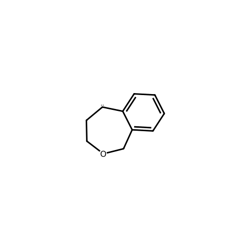 [C]1CCOCc2ccccc21